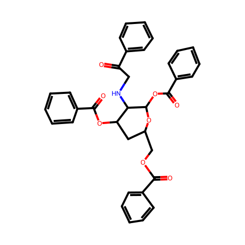 O=C(CNC1C(OC(=O)c2ccccc2)CC(COC(=O)c2ccccc2)OC1OC(=O)c1ccccc1)c1ccccc1